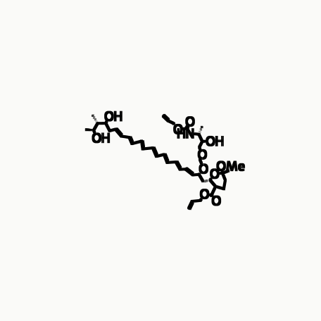 C=CCOC(=O)N[C@H](C)C(O)COCOC(/C=C/C=C/C=C/C=C/C=C/C=C/C=C/CC(O)[C@@H](C)[C@H](C)O)C[C@@H]1OC(C)(OC)CCC1C(=O)OCC=C